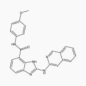 COc1ccc(NC(=O)c2cccc3nc(Nc4cc5ccccc5cn4)[nH]c23)cc1